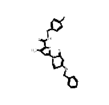 Cc1cc(-n2ccc(OCc3ccccc3)cc2=O)sc1C(=O)NCc1ccc(F)cc1